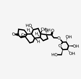 C[C@]12CCC(=O)C=C1CC[C@@H]1[C@@H]2[C@@H](O)C[C@@]2(C)[C@H]1CC[C@]2(O)C(=O)COC1O[C@H](CO)[C@@H](O)[C@H](O)[C@H]1O